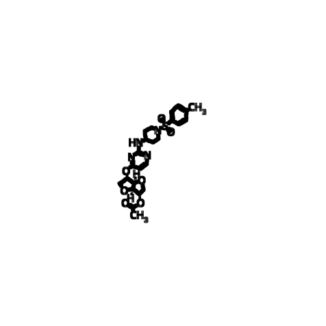 CC(=O)O[C@H]1CO[C@H]2[C@@H]1OC[C@@H]2Oc1ccnc(NC2CCN(S(=O)(=O)c3ccc(C)cc3)CC2)n1